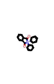 O=C1c2ccccc2C(=O)[N+]1(c1ccccc1)c1ccccc1